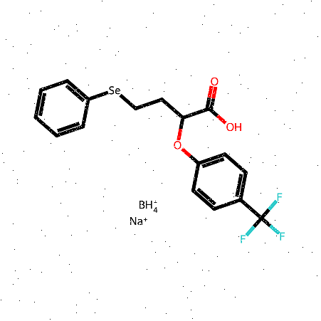 O=C(O)C(CC[Se]c1ccccc1)Oc1ccc(C(F)(F)F)cc1.[BH4-].[Na+]